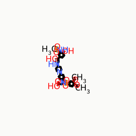 COc1ccc(S(=O)(=O)N(CC(=O)O)c2ccc(N3CCC(NC[C@@H](O)c4ccc(O)c(NS(C)(=O)=O)c4)CC3)cc2)cc1OC